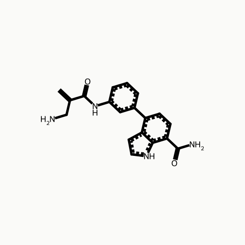 C=C(CN)C(=O)Nc1cccc(-c2ccc(C(N)=O)c3[nH]ccc23)c1